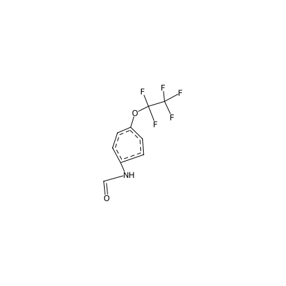 O=CNc1ccc(OC(F)(F)C(F)(F)F)cc1